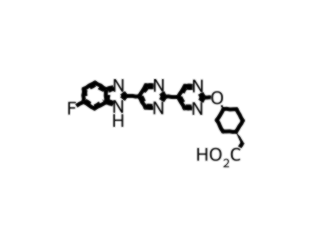 O=C(O)C[C@H]1CC[C@H](Oc2ncc(-c3ncc(-c4nc5ccc(F)cc5[nH]4)cn3)cn2)CC1